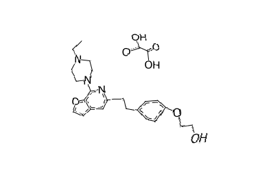 CCN1CCN(c2nc(CCc3ccc(OCCO)cc3)cc3ccoc23)CC1.O=C(O)C(=O)O